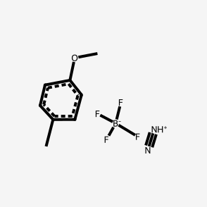 COc1ccc(C)cc1.F[B-](F)(F)F.N#[NH+]